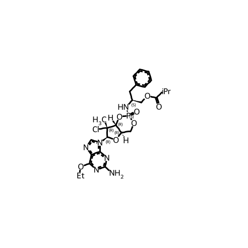 CCOc1nc(N)nc2c1ncn2[C@@H]1O[C@@H]2CO[P@@](=O)(N[C@H](COC(=O)C(C)C)Cc3ccccc3)O[C@H]2[C@@]1(C)Cl